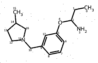 CCC(N)Oc1cccc(CN2CCC(C)C2)c1